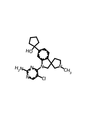 CN1CCC2(C1)CN(c1nc(N)ncc1Cl)c1cc(C3(O)CCCC3)ccc12